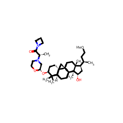 COCC[C@@H](C)[C@H]1C[C@H](O)[C@@]2(C)C3CC[C@H]4C(C)(C)[C@@H](O[C@H]5CN([C@@H](C)C(=O)N6CCC6)CCO5)CC[C@@]45C[C@@]35CC[C@]12C